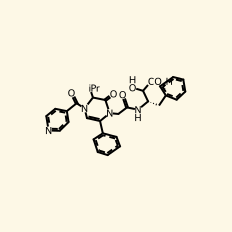 CC(C)C1C(=O)N(CC(=O)N[C@@H](Cc2ccccc2)C(O)C(=O)O)C(c2ccccc2)=CN1C(=O)c1ccncc1